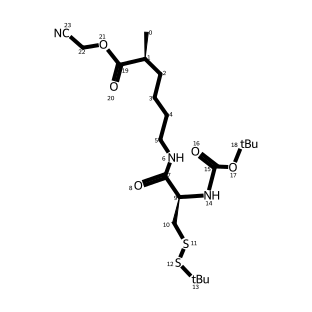 C[C@@H](CCCCNC(=O)[C@H](CSSC(C)(C)C)NC(=O)OC(C)(C)C)C(=O)OCC#N